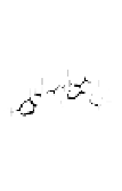 CC(C)COc1cc(=O)n(CC(=O)Nc2nc3cc(Cl)ccc3o2)nc1C(C)C